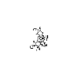 O=S(=O)(Nc1cc(F)c(Cl)cc1F)c1c[nH]c2c(Br)c(Cl)ccc12